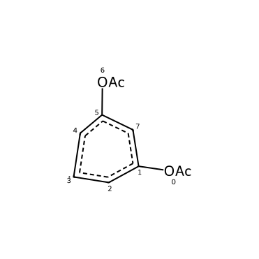 CC(=O)Oc1c[c]cc(OC(C)=O)c1